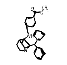 COC(=O)c1ccc(CNC2C3CCN(CC3)C2C(c2ccccc2)c2ccccc2)cc1